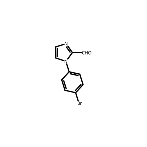 O=Cc1nccn1-c1ccc(Br)cc1